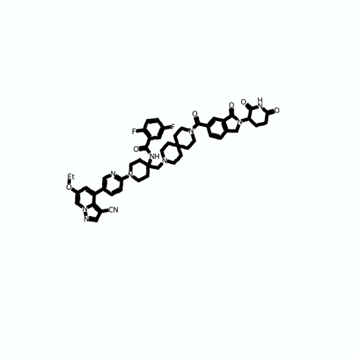 CCOc1cc(-c2ccc(N3CCC(CN4CCC5(CC4)CCN(C(=O)c4ccc6c(c4)C(=O)N(C4CCC(=O)NC4=O)C6)CC5)(NC(=O)c4cc(F)ccc4F)CC3)nc2)c2c(C#N)cnn2c1